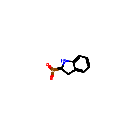 O=S(=O)=C1Cc2ccccc2N1